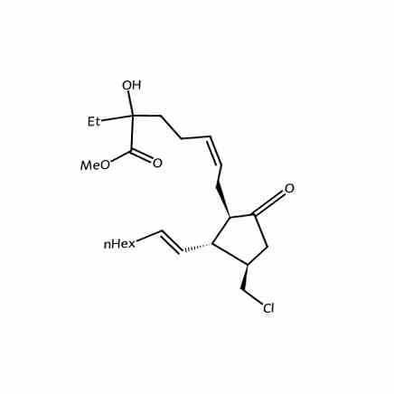 CCCCCC/C=C/[C@H]1[C@H](CCl)CC(=O)[C@@H]1C/C=C\CCC(O)(CC)C(=O)OC